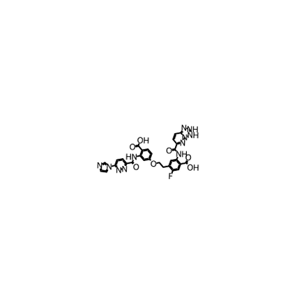 O=C(Nc1cc(CCOc2ccc(C(=O)O)c(NC(=O)c3ccc(-n4ccnc4)nn3)c2)c(F)cc1C(=O)O)C1=NN2NNN=C2C=C1